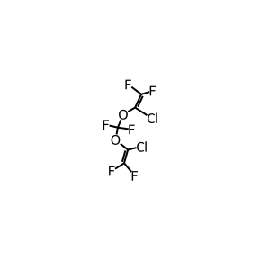 FC(F)=C(Cl)OC(F)(F)OC(Cl)=C(F)F